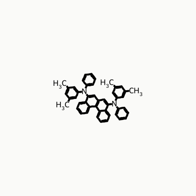 Cc1cc(C)cc(N(c2ccccc2)c2cc3cc(N(c4ccccc4)c4cc(C)cc(C)c4)c4ccccc4c3c3ccccc23)c1